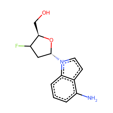 Nc1cccc2c1ccn2[C@@H]1CC(F)[C@@H](CO)O1